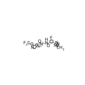 Cn1nnc(-c2cc(F)cc(C(=O)NCCN3CCn4c(cc5c(OCC(F)(F)F)nccc54)C3=O)c2)n1